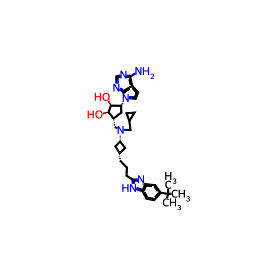 CC(C)(C)c1ccc2[nH]c(CCC[C@H]3C[C@@H](N(CC4CC4)C[C@H]4C[C@@H](n5ccc6c(N)ncnc65)[C@H](O)[C@@H]4O)C3)nc2c1